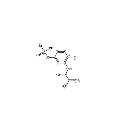 C=C(C)C(=O)Nc1cc(OP(=O)(O)O)ccc1Cl